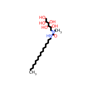 CCCCCCCCCCCCCCCCCNC(=O)N(C)CC(O)C(O)C(O)C(O)CO